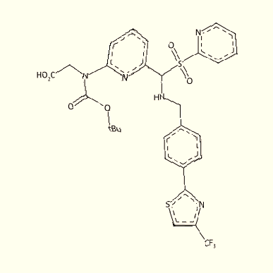 CC(C)(C)OC(=O)N(CC(=O)O)c1cccc(C(NCc2ccc(-c3nc(C(F)(F)F)cs3)cc2)S(=O)(=O)c2ccccn2)n1